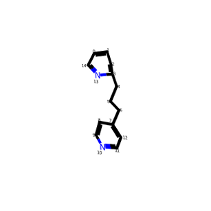 c1ccc(CCCc2ccncc2)nc1